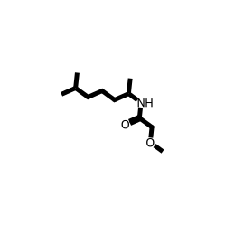 COCC(=O)NC(C)CCCC(C)C